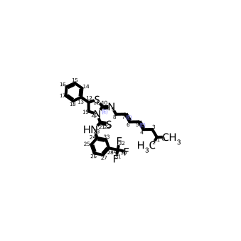 CC(C)C/C=C/C=C/C/N=C1/SC(c2ccccc2)CN1C(=S)Nc1cccc(C(F)(F)F)c1